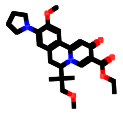 CCOC(=O)c1cn2c(cc1=O)-c1cc(OC)c(N3CCCC3)cc1CC2C(C)(C)COC